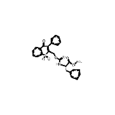 CCCCOC(=O)[C@H](Cc1ccccc1)NC(=O)OCC1=C(c2ccccc2)C(=O)c2ccccc2S1(=O)=O